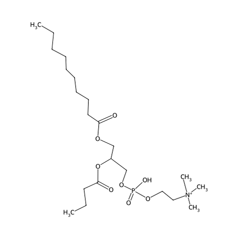 CCCCCCCCCC(=O)OCC(COP(=O)(O)OCC[N+](C)(C)C)OC(=O)CCC